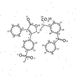 CS(=O)(=O)c1ccc(C2=C(c3ccccc3)C(=O)OC2)cc1.C[C@H](C(=O)O)c1cccc(C(=O)c2ccccc2)c1